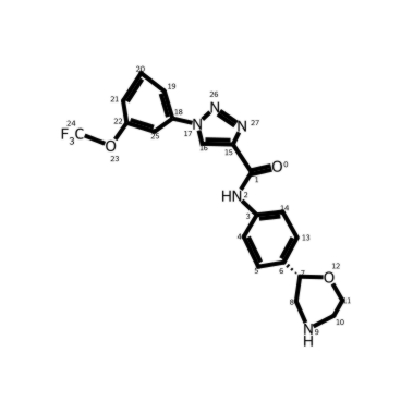 O=C(Nc1ccc([C@H]2CNCCO2)cc1)c1cn(-c2cccc(OC(F)(F)F)c2)nn1